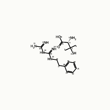 CC(C)(S)[C@@H](N)C(=O)O.N=C(N)NC(=N)NCCc1ccccc1